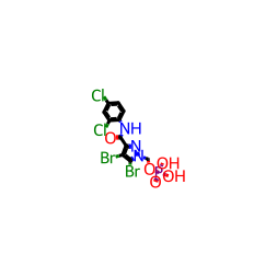 O=C(Nc1ccc(Cl)cc1Cl)c1nn(COP(=O)(O)O)c(Br)c1Br